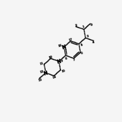 CC(C)C(C)c1ccc(N2CCN(C)CC2)nc1